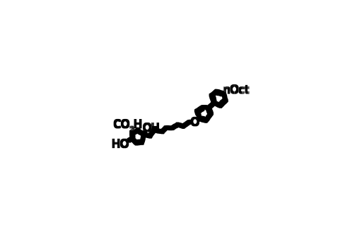 CCCCCCCCc1ccc(-c2ccc(OCCCCCCCCC3(O)C=CC(O)=CC3C(=O)O)cc2)cc1